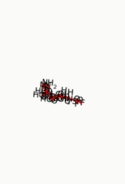 CC(C)(COP(=O)(O)OP(=O)(O)OC[C@H]1O[C@@H](n2cnc3c(N)ncnc32)[C@H](O)[C@@H]1OP(=O)(O)O)[C@@H](O)C(=O)NCCC(=O)NCCSC(=O)C(F)C(=O)CF